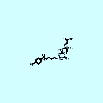 O=CO[C@H](CCCCNC(=O)c1ccc([18F])cc1)OC(=O)N[C@@H](CCC(=O)O)C(=O)O